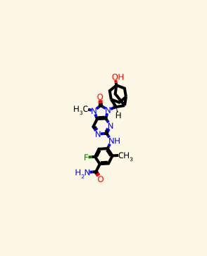 Cc1cc(C(N)=O)c(F)cc1Nc1ncc2c(n1)n([C@H]1C3CC4CC(O)(C3)CC41)c(=O)n2C